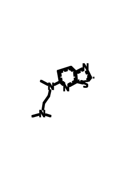 CN(C)CCN(C)c1ccc2n[c]sc2n1